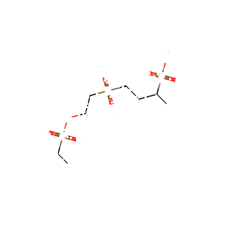 CCS(=O)(=O)OCCS(=O)(=O)CCC(C)S(=O)(=O)O